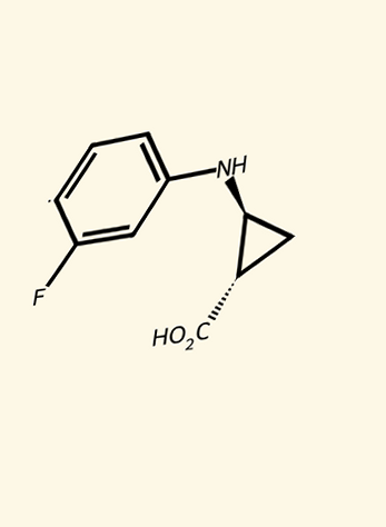 O=C(O)[C@H]1C[C@@H]1Nc1cc[c]c(F)c1